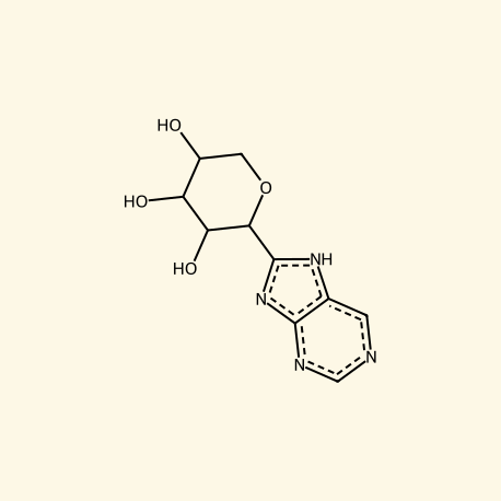 OC1COC(c2nc3ncncc3[nH]2)C(O)C1O